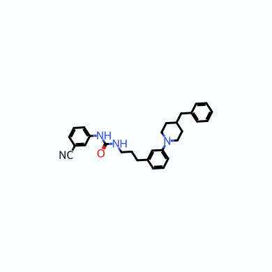 N#Cc1cccc(NC(=O)NCCCc2cccc(N3CCC(Cc4ccccc4)CC3)c2)c1